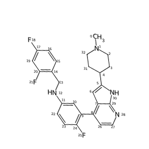 CN1CCC(c2cc3c(-c4cc(NCc5ccc(F)cc5F)ccc4F)ccnc3[nH]2)CC1